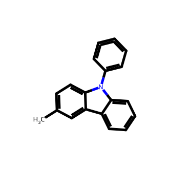 Cc1ccc2c(c1)c1ccccc1n2C1=CC=C=C=C1